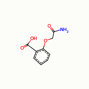 NC(=O)COc1ccccc1C(=O)O